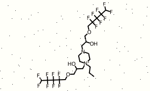 CCC[N+]1(CC(O)COCC(F)(F)C(F)(F)C(F)(F)C(F)F)CCN(CC(O)COCC(F)(F)C(F)(F)C(F)(F)C(F)F)CC1